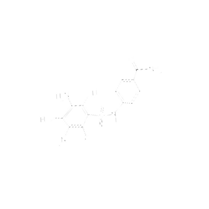 Cc1c(N)c(C)c(S(=O)(=O)Nc2ccc(C(N)=O)cc2)c(C)c1N